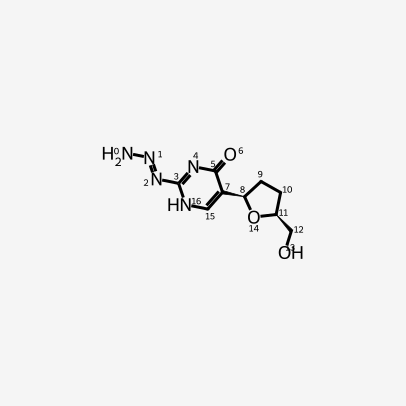 NN=Nc1nc(=O)c([C@H]2CC[C@@H](CO)O2)c[nH]1